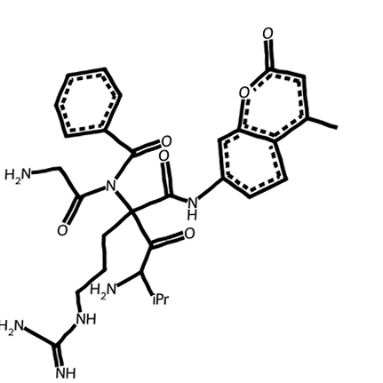 Cc1cc(=O)oc2cc(NC(=O)C(CCCNC(=N)N)(C(=O)C(N)C(C)C)N(C(=O)CN)C(=O)c3ccccc3)ccc12